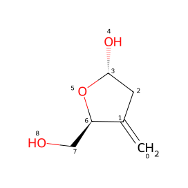 C=C1C[C@@H](O)O[C@@H]1CO